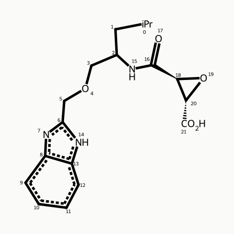 CC(C)CC(COCc1nc2ccccc2[nH]1)NC(=O)[C@H]1O[C@@H]1C(=O)O